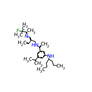 C=C/C(=C\N=C(/C)C(C)(C)F)CNC(=C)c1cc(NC(CCC)CCC)cc(C(=C)C)c1